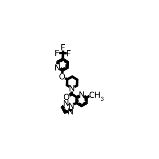 Cc1ccc(-n2nccn2)c(C(=O)N2CCCC(Oc3ccc(C(F)(F)F)cn3)C2)n1